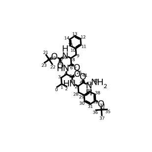 CC(C)CC(NC(=O)C(Cc1ccccc1)NC(=O)OC(C)(C)C)C(=O)NC(Cc1ccc(OC(C)(C)C)cc1)C(=O)NN